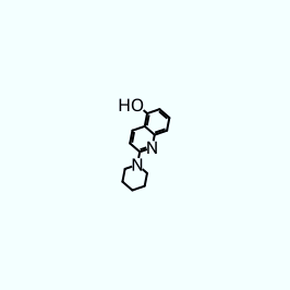 Oc1cccc2nc(N3CCCCC3)ccc12